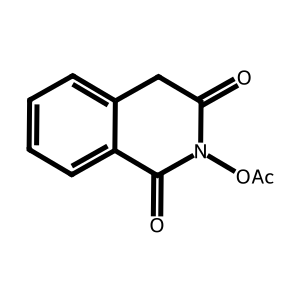 CC(=O)ON1C(=O)Cc2ccccc2C1=O